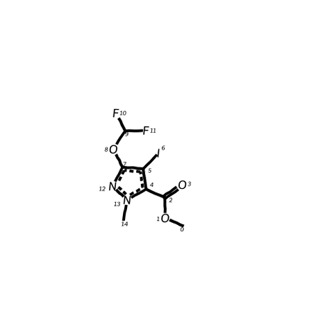 COC(=O)c1c(I)c(OC(F)F)nn1C